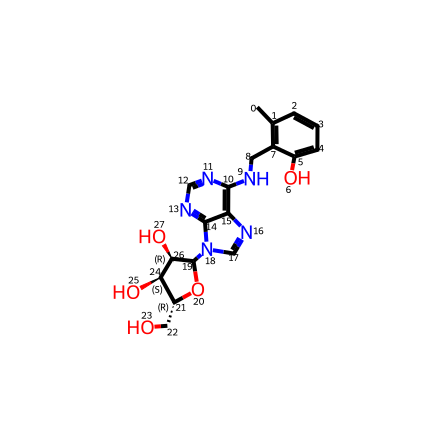 Cc1cccc(O)c1CNc1ncnc2c1ncn2C1O[C@H](CO)[C@@H](O)[C@H]1O